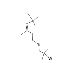 C/C(=C/C(C)(C)C)CCSC[C](C)(C)[W]